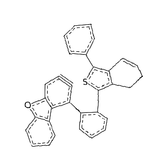 c1cc2oc3ccccc3c2c(-c2ccccc2-c2sc(-c3ccccc3)c3c2CCC=C3)c#1